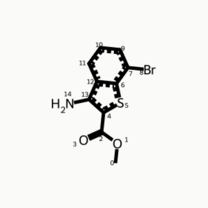 COC(=O)c1sc2c(Br)cccc2c1N